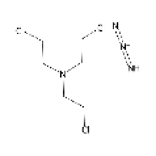 ClCCN(CCCl)CCCl.[N-]=[N+]=N